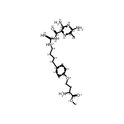 COC(=O)C(N)CCOc1ccc(CCCCNC(=N)NC(=O)c2nc(I)c(N)nc2N)cc1